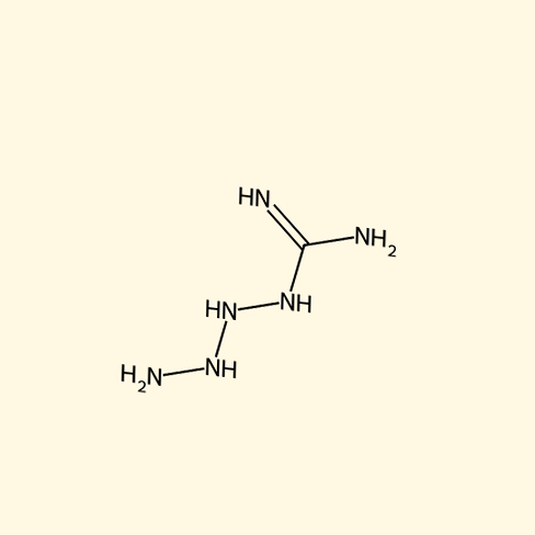 N=C(N)NNNN